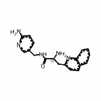 Nc1ccc(CNC(=O)[C@@H](N)Cc2ccc3ccccc3n2)cn1